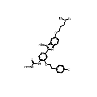 CCCCn1c(-c2ccc(NC(=O)NC(C)C)c(OCCc3ccc(Cl)cc3)c2)nc2ccc(OCCCN(CC)CC)cc21